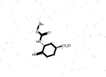 CCOC(=O)[C@H]1CCC(=N)[C@H](NC(=O)OC(C)(C)C)C1